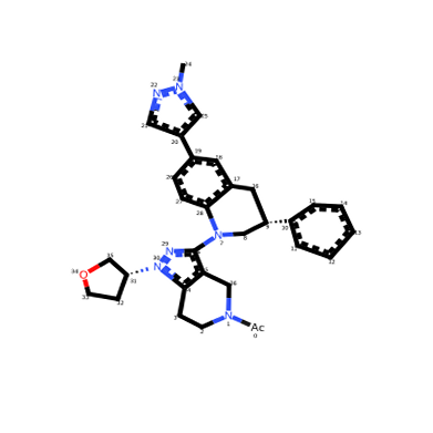 CC(=O)N1CCc2c(c(N3C[C@@H](c4ccccc4)Cc4cc(-c5cnn(C)c5)ccc43)nn2[C@@H]2CCOC2)C1